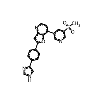 CS(=O)(=O)c1cncc(-c2ccnc3cc(-c4ccc(-c5c[nH]cn5)cc4)oc23)c1